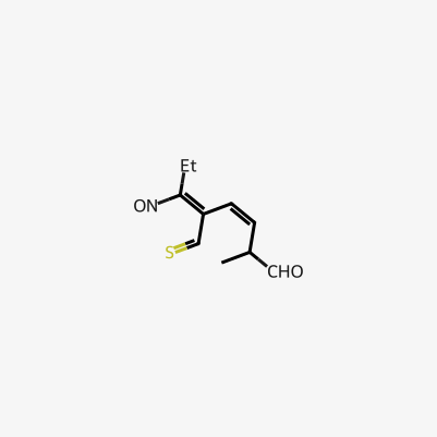 CC/C(N=O)=C(C=S)\C=C/C(C)C=O